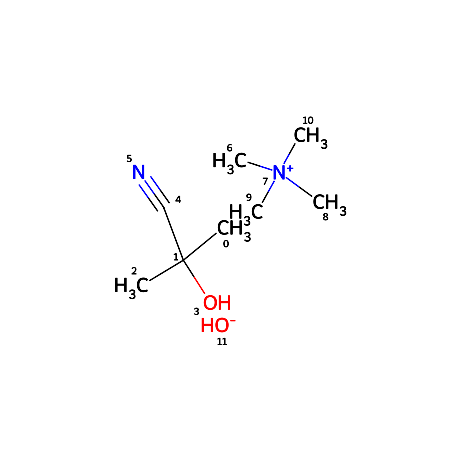 CC(C)(O)C#N.C[N+](C)(C)C.[OH-]